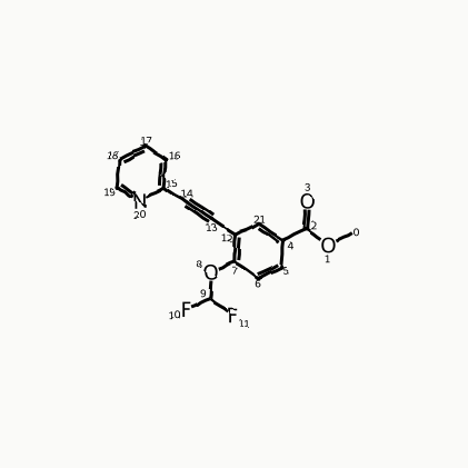 COC(=O)c1ccc(OC(F)F)c(C#Cc2ccccn2)c1